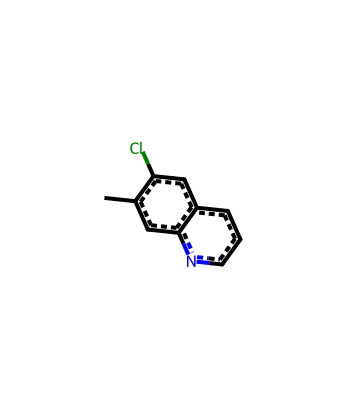 Cc1cc2ncccc2cc1Cl